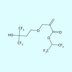 C=C(COCCC(O)(C(F)(F)F)C(F)(F)F)C(=O)OC(C(F)(F)F)C(F)(F)F